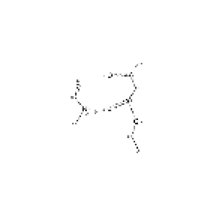 CCOC(=O)CC(C)=O.CN(C)C=O